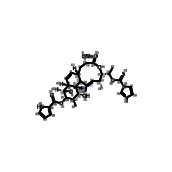 CO[C@H]1C[C@H]2C=C[C@H]3[C@H]4O[C@]2(/C(C)=C/[C@@H](C)[C@@H](C(C)OC(=S)n2ccnc2)OC1=O)[C@@H]3[C@H](O)[C@@H](C)[C@H]4OC(=O)c1ccc[nH]1